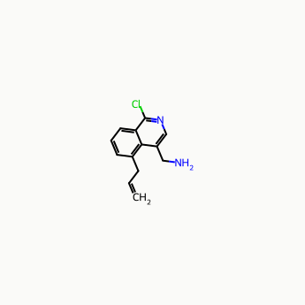 C=CCc1cccc2c(Cl)ncc(CN)c12